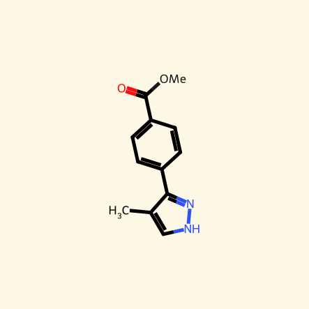 COC(=O)c1ccc(-c2n[nH]cc2C)cc1